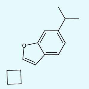 C1CCC1.CC(C)c1ccc2ccoc2c1